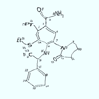 CCCc1c(C(N)=O)cc(N2CCCC2=O)c(NC(c2ccccc2)C(F)(F)F)c1SCC